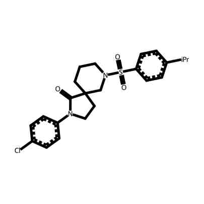 CC(C)c1ccc(S(=O)(=O)N2CCCC3(CCN(c4ccc(Cl)cc4)C3=O)C2)cc1